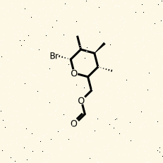 CC1[C@@H](C)[C@H](C)C(COC=O)O[C@@H]1Br